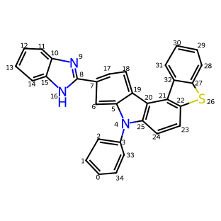 c1ccc(-n2c3cc(-c4nc5ccccc5[nH]4)ccc3c3c4c(ccc32)sc2ccccc24)cc1